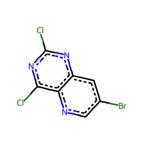 Clc1nc(Cl)c2ncc(Br)cc2n1